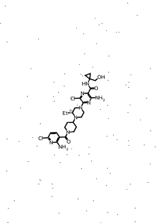 CC[C@H]1CN(c2nc(N)c(C(=O)NC3(CO)CC3)nc2Cl)CCN1C1CCN(C(=O)c2ccc(Cl)nc2N)CC1